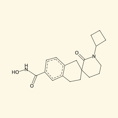 O=C(NO)c1ccc2c(c1)CCC1(CCCN(C3CCC3)C1=O)C2